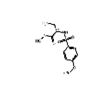 CCCCOc1ccc(S(=O)(=O)N[C@H](CN)C(=O)NO)cc1